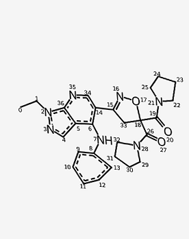 CCn1ncc2c(Nc3ccccc3)c(C3=NOC(C(=O)N4CCCC4)(C(=O)N4CCCC4)C3)cnc21